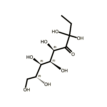 CCC(O)(O)C(=O)[C@H](O)[C@@H](O)[C@H](O)[C@H](O)CO